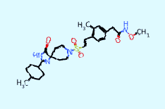 CONC(=O)Cc1ccc(/C=C/S(=O)(=O)N2CCC3(CC2)N=C(C2CCC(C)CC2)NC3=O)c(C)c1